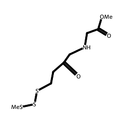 COC(=O)CNCC(=O)CCSSSC